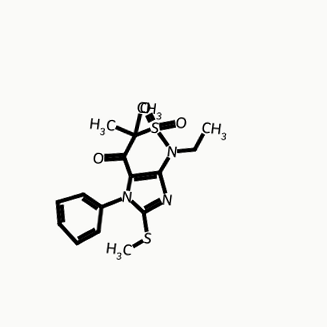 CCN1c2nc(SC)n(-c3ccccc3)c2C(=O)C(C)(C)S1(=O)=O